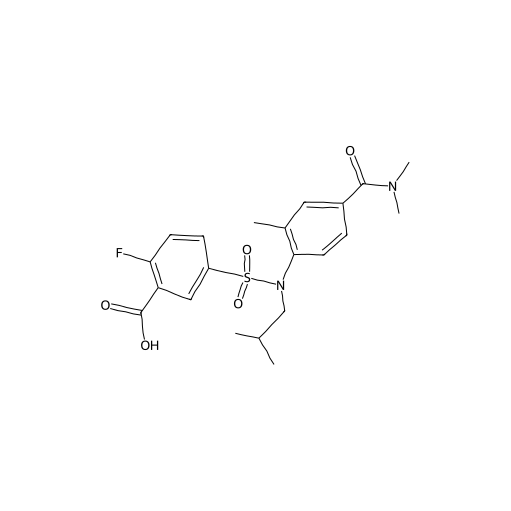 Cc1cc(C(=O)N(C)C)ccc1N(CC(C)C)S(=O)(=O)c1ccc(F)c(C(=O)O)c1